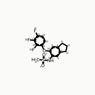 CS(=O)(=O)Nc1cc2c(cc1Oc1ccc(F)c(F)c1F)CCC2